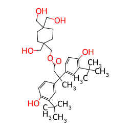 CC(C)(C)c1cc(C(C)(CC(=O)OCC2(CO)CCC(CO)(CO)CC2)c2ccc(O)c(C(C)(C)C)c2)ccc1O